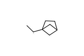 C[CH]C12CCC(C1)C2